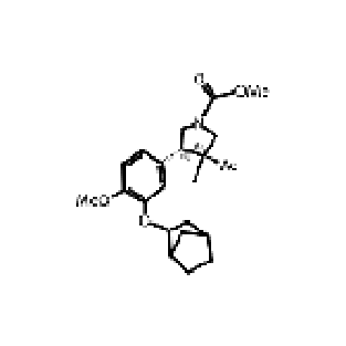 COC(=O)N1C[C@@H](c2ccc(OC)c(OC3CC4CCC3C4)c2)[C@](C)(C(C)=O)C1